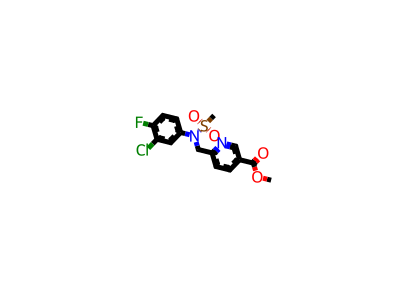 COC(=O)c1ccc(CN(c2ccc(F)c(Cl)c2)S(C)(=O)=O)nc1